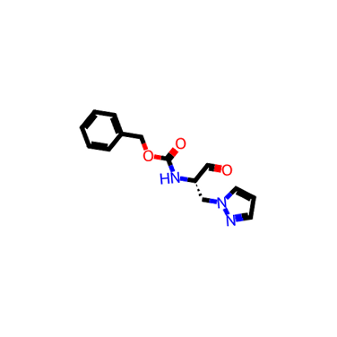 O=C[C@H](Cn1cccn1)NC(=O)OCc1ccccc1